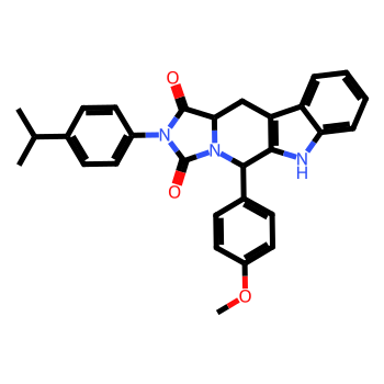 COc1ccc(C2c3[nH]c4ccccc4c3CC3C(=O)N(c4ccc(C(C)C)cc4)C(=O)N32)cc1